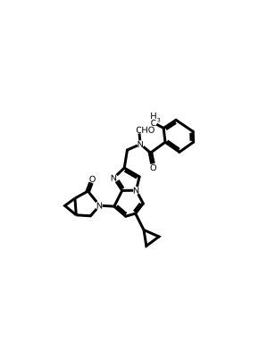 Cc1ccccc1C(=O)N(C=O)Cc1cn2cc(C3CC3)cc(N3CC4CC4C3=O)c2n1